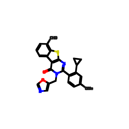 COc1ccc(-c2nc3sc4c(C=O)cccc4c3c(=O)n2Cc2cnco2)c(C2CC2)c1